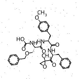 COc1ccc(C[C@H](NC(=O)[C@H](COCc2ccccc2)NC(=O)O)C(=O)N[C@@H](Cc2ccccc2)C(=O)[C@@]2(C)CO2)cc1